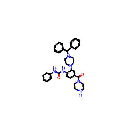 O=C(Nc1ccccc1)Nc1ccc(C(=O)N2CCNCC2)cc1N1CCN(C(c2ccccc2)c2ccccc2)CC1